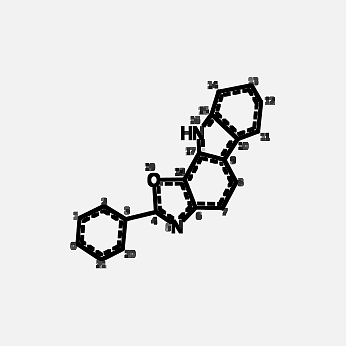 c1ccc(-c2nc3ccc4c5ccccc5[nH]c4c3o2)cc1